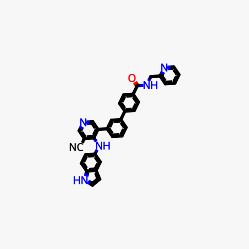 N#Cc1cncc(-c2cccc(-c3ccc(C(=O)NCc4ccccn4)cc3)c2)c1Nc1ccc2[nH]ccc2c1